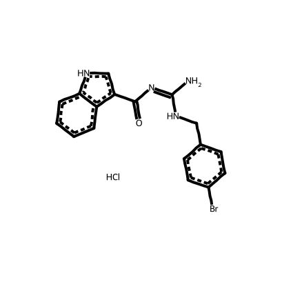 Cl.NC(=NC(=O)c1c[nH]c2ccccc12)NCc1ccc(Br)cc1